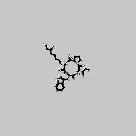 CCC(=O)CCCCC[C@@H]1NC(=O)[C@H]2CCCN2C(=O)[C@H](C(C)CC)NC(=O)[C@H](Cc2c[nH]c3ccccc23)NC1=O